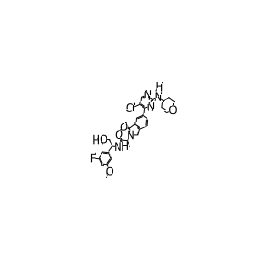 COc1cc(F)cc([C@@H](CO)NC(=O)C(C)N2Cc3ccc(-c4nc(NC5CCOCC5)ncc4Cl)cc3C2=O)c1